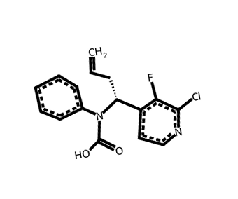 C=CC[C@H](c1ccnc(Cl)c1F)N(C(=O)O)c1ccccc1